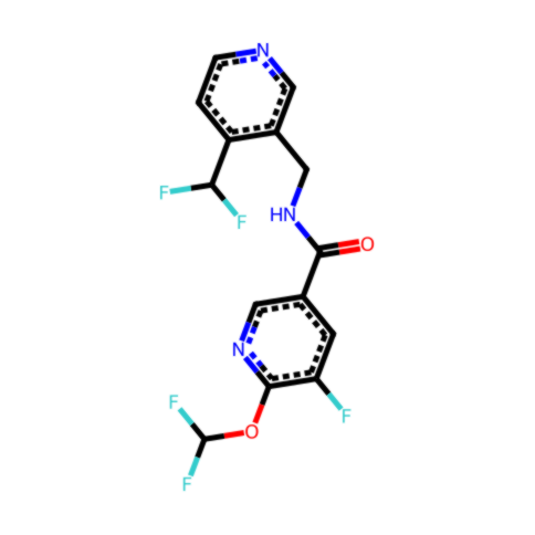 O=C(NCc1cnccc1C(F)F)c1cnc(OC(F)F)c(F)c1